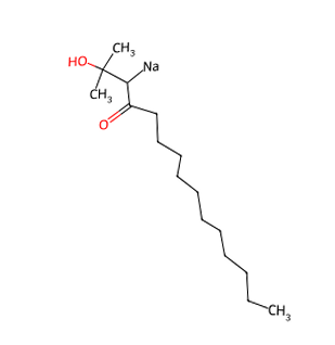 CCCCCCCCCCCC(=O)[CH]([Na])C(C)(C)O